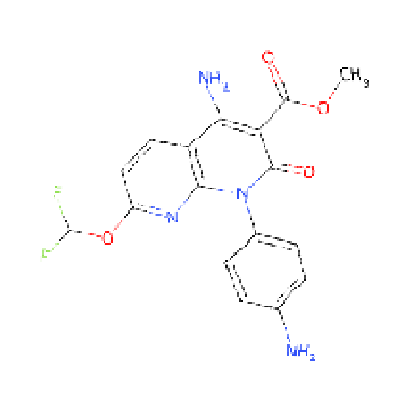 COC(=O)c1c(N)c2ccc(OC(F)F)nc2n(-c2ccc(N)cc2)c1=O